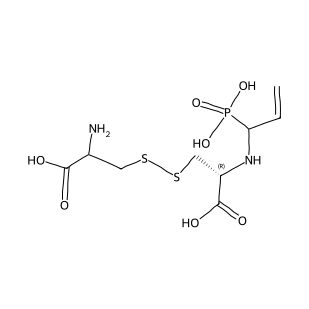 C=CC(N[C@@H](CSSCC(N)C(=O)O)C(=O)O)P(=O)(O)O